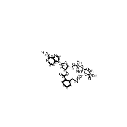 [N-]=[N+]=NCc1ccccc1C(=O)O[C@@H]1C[C@H](n2cnc3c(N)ncnc32)O[C@@H]1COP(=O)(O)OP(=O)(O)OP(=O)(O)O